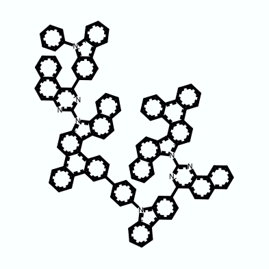 c1ccc(-n2c3ccccc3c3ccc(-c4nc(-n5c6ccc7c8ccccc8c8cc(-c9ccc(-n%10c%11ccccc%11c%11ccc(-c%12nc(-n%13c%14ccc%15c%16ccccc%16c%16ccccc%16c%15c%14c%14ccc%15ccccc%15c%14%13)nc%13c%12ccc%12ccccc%12%13)cc%11%10)cc9)ccc8c7c6c6ccc7ccccc7c65)nc5ccc6ccccc6c45)cc32)cc1